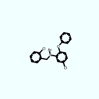 CC(=O)N(Cc1ccccc1Cl)c1cc(Cl)ccc1Oc1ccccc1